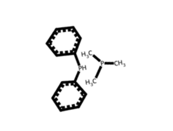 CP(C)C.c1ccc(Pc2ccccc2)cc1